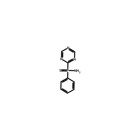 NP(=S)(c1ccccc1)c1ncncn1